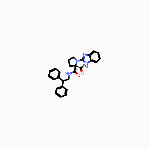 CCC(=O)[C@@]1(C(=O)NCC(c2ccccc2)c2ccccc2)CCCN1c1nc2ccccc2[nH]1